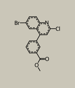 COC(=O)c1cccc(-c2cc(Cl)nc3ccc(Br)cc23)c1